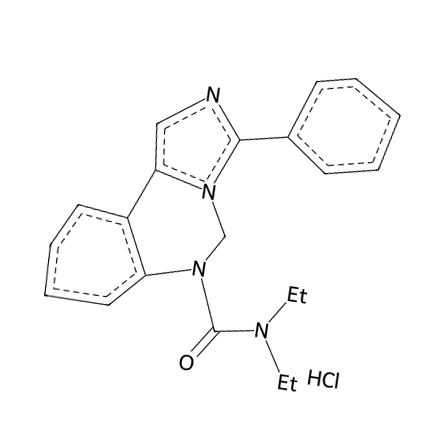 CCN(CC)C(=O)N1Cn2c(cnc2-c2ccccc2)-c2ccccc21.Cl